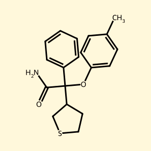 Cc1ccc(OC(C(N)=O)(c2ccccc2)C2CCSC2)cc1